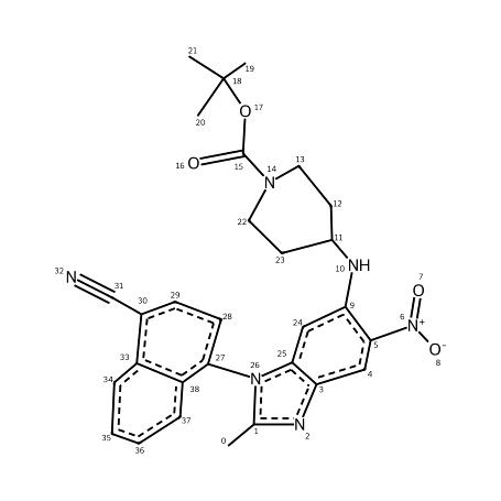 Cc1nc2cc([N+](=O)[O-])c(NC3CCN(C(=O)OC(C)(C)C)CC3)cc2n1-c1ccc(C#N)c2ccccc12